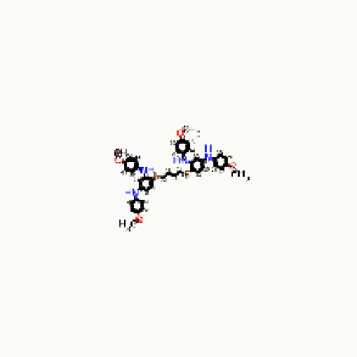 COc1ccc(Nc2ccc(SCCCCSc3ccc(Nc4ccc(OC)cc4)cc3Nc3ccc(OC)cc3)c(Nc3ccc(OC)cc3)c2)cc1